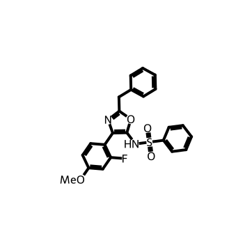 COc1ccc(-c2nc(Cc3ccccc3)oc2NS(=O)(=O)c2ccccc2)c(F)c1